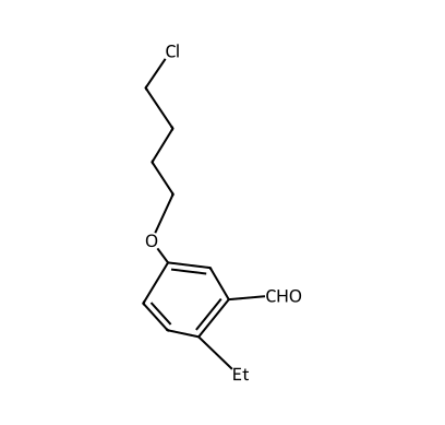 CCc1ccc(OCCCCCl)cc1C=O